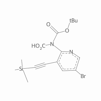 CC(C)(C)OC(=O)N(C(=O)O)c1ncc(Br)cc1C#C[Si](C)(C)C